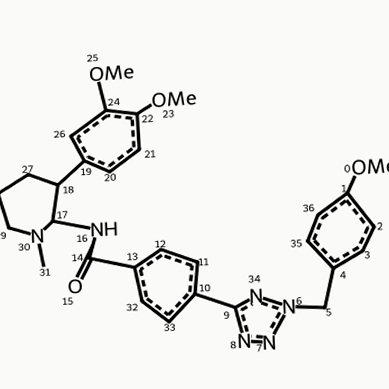 COc1ccc(Cn2nnc(-c3ccc(C(=O)NC4C(c5ccc(OC)c(OC)c5)CCCN4C)cc3)n2)cc1